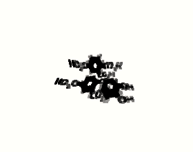 O=C(O)c1ccc(C(=O)O)c(C(=O)O)c1.O=C(O)c1ccc(C(=O)O)c(C(=O)O)c1.Oc1ccccc1O